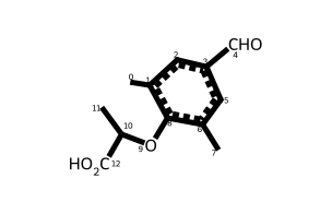 Cc1cc(C=O)cc(C)c1OC(C)C(=O)O